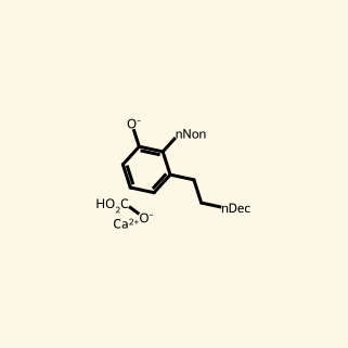 CCCCCCCCCCCCc1cccc([O-])c1CCCCCCCCC.O=C([O-])O.[Ca+2]